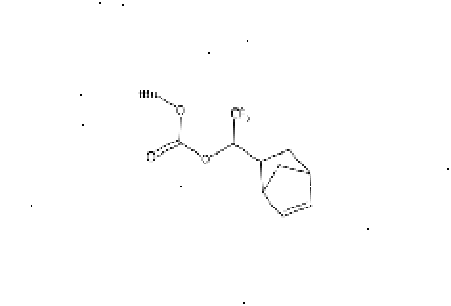 CC(C)(C)OC(=O)OC(C1CC2C=CC1C2)C(F)(F)F